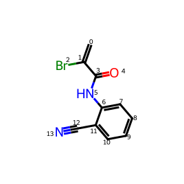 C=C(Br)C(=O)Nc1ccccc1C#N